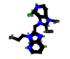 CC(C)CCn1c(CN2c3c(ccnc3Cl)N(C(C)C)C2C=O)nc2cccnc21